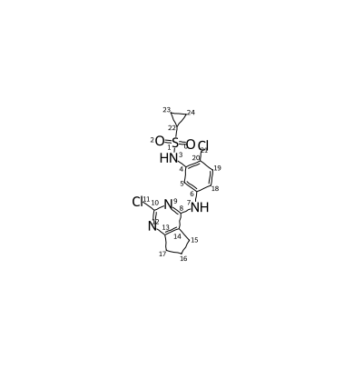 O=S(=O)(Nc1cc(Nc2nc(Cl)nc3c2CCC3)ccc1Cl)C1CC1